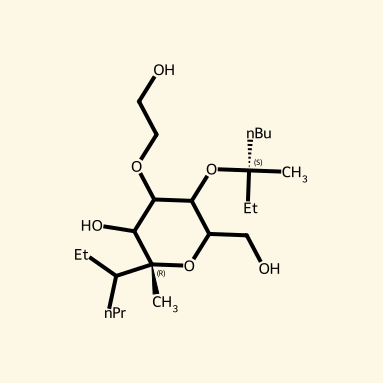 CCCC[C@](C)(CC)OC1C(CO)O[C@](C)(C(CC)CCC)C(O)C1OCCO